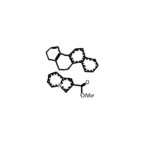 C1=CC2=C(CC1)CCc1c2ccc2ccccc12.COC(=O)c1cc2ccccn2c1